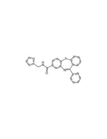 O=C(NCc1cccs1)c1ccc2c(c1)N=C(c1ccccn1)c1ccccc1S2